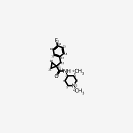 C[C@@H]1CN(C)CC[C@H]1NC(=O)C1(Cc2ccc(F)cc2)CC1